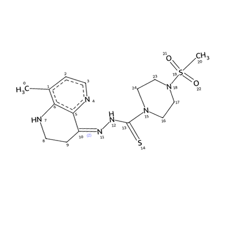 Cc1ccnc2c1NCC/C2=N/NC(=S)N1CCN(S(C)(=O)=O)CC1